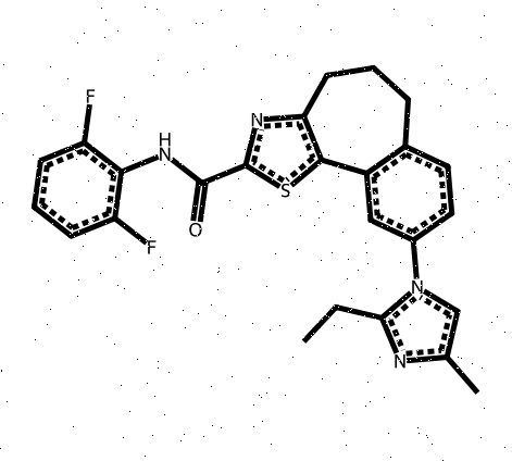 CCc1nc(C)cn1-c1ccc2c(c1)-c1sc(C(=O)Nc3c(F)cccc3F)nc1CCC2